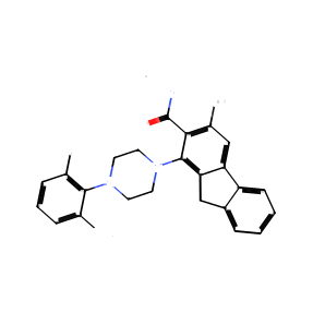 CCCCc1cc2c(c(N3CCN(c4c(C)cccc4C)CC3)c1C(N)=O)Cc1ccccc1-2.Cl